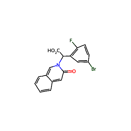 O=C(O)C(c1cc(Br)ccc1F)n1cc2ccccc2cc1=O